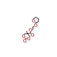 CC1(C(=O)OCCOC2CCCCO2)COC(=O)OC1